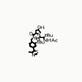 CC(=O)NC(C(=O)N1CC(O)CC1C(=O)NCc1ccc(-c2scnc2C)cc1C(C)(C)C)C(C)(C)C